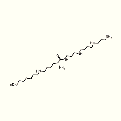 CCCCCCCCCCCCCCCCNCCCC[C@@H](N)C(=O)NCCCNCCCCNCCCN